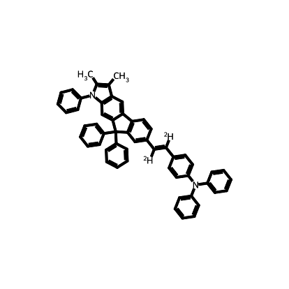 [2H]/C(=C(/[2H])c1ccc2c(c1)C(c1ccccc1)(c1ccccc1)c1cc3c(cc1-2)c(C)c(C)n3-c1ccccc1)c1ccc(N(c2ccccc2)c2ccccc2)cc1